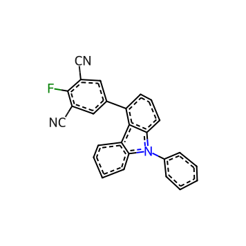 N#Cc1cc(-c2cccc3c2c2ccccc2n3-c2ccccc2)cc(C#N)c1F